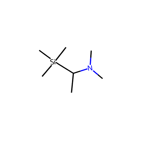 CC(N(C)C)[Si](C)(C)C